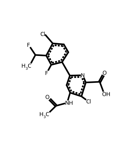 CC(=O)Nc1cc(-c2ccc(Cl)c(C(C)F)c2F)nc(C(=O)O)c1Cl